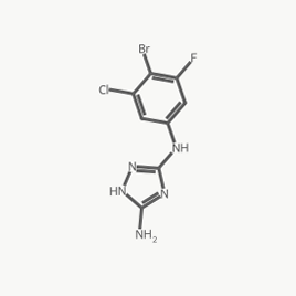 Nc1nc(Nc2cc(F)c(Br)c(Cl)c2)n[nH]1